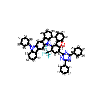 FC(F)(F)c1cc(-c2nc(-c3ccccc3)nc(-c3ccccc3)n2)c2oc3ccccc3c2c1-n1c2ccccc2c2cc3c(cc21)c1ccccc1n3-c1ccccc1